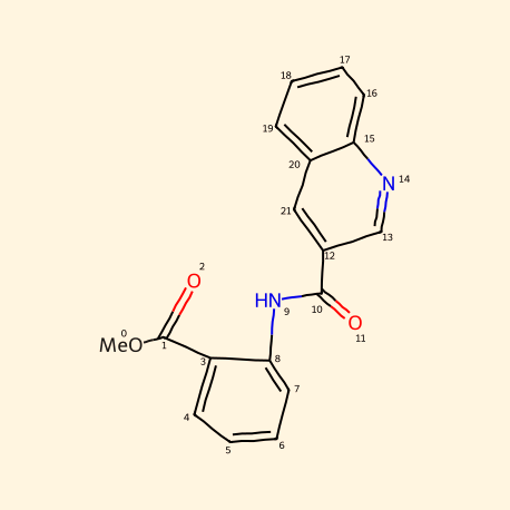 COC(=O)c1ccccc1NC(=O)c1cnc2ccccc2c1